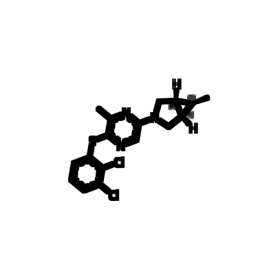 Cc1nc(N2C[C@@H]3[C@@H](C)[C@@H]3C2)cnc1Sc1cccc(Cl)c1Cl